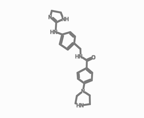 O=C(NCc1ccc(NC2=NCCN2)cc1)c1ccc(N2CCNCC2)cc1